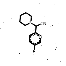 N#CC(c1ccc(F)cn1)N1CCCCC1